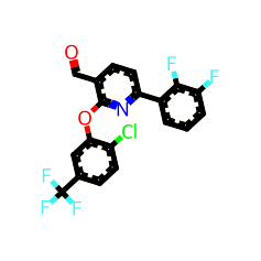 O=Cc1ccc(-c2cccc(F)c2F)nc1Oc1cc(C(F)(F)F)ccc1Cl